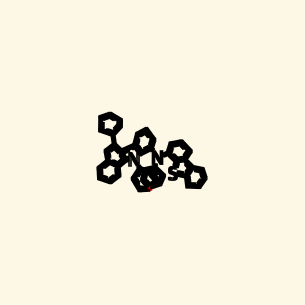 c1ccc(-c2cc3ccccc3c3c2c2cccc(N(c4ccccc4)c4cccc5c4sc4ccccc45)c2n3-c2ccccc2)cc1